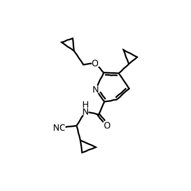 N#CC(NC(=O)c1ccc(C2CC2)c(OCC2CC2)n1)C1CC1